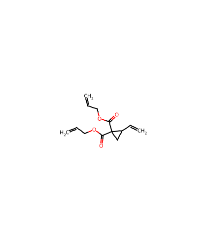 C=CCOC(=O)C1(C(=O)OCC=C)CC1C=C